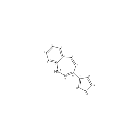 C1=Cc2ccccc2NN=C1c1ccsc1